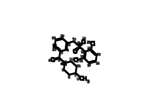 CC1CCN(C(=O)c2cc(CS(=O)(=O)c3c(Cl)cccc3Cl)ccn2)CC1